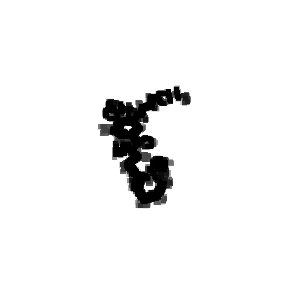 CCCCCOc1cc(C(=O)NCCc2cccc[n+]2[O-])ccc1OC